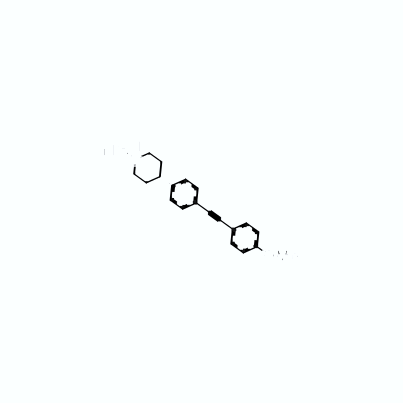 CCC[Si@H]1CC[C@H](c2ccc(C#Cc3ccc(OC)cc3)cc2)CC1